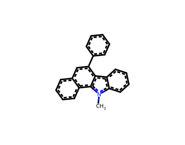 Cn1c2ccccc2c2c(-c3ccccc3)cc3ccccc3c21